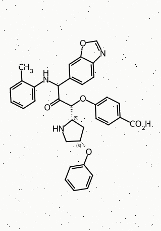 Cc1ccccc1NC(C(=O)C(Oc1ccc(C(=O)O)cc1)[C@@H]1C[C@H](Oc2ccccc2)CN1)c1ccc2ncoc2c1